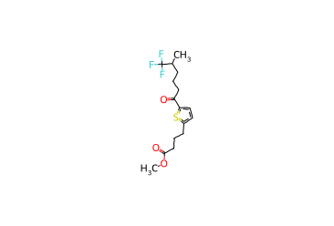 COC(=O)CCCc1ccc(C(=O)CCCC(C)C(F)(F)F)s1